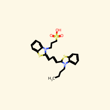 CCCCN1c2ccccc2SC1/C=C/C=C1/Sc2ccccc2N1CCCS(=O)(=O)O